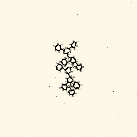 c1ccc(-c2cc(-n3c4ccccc4c4ccc5c(c6ccccc6n5-c5nc(-c6ccccc6)nc(-c6ccccc6)n5)c43)nc(-c3ccc4c(c3)-c3ccccc3[Si]4(c3ccccc3)c3ccccc3)n2)cc1